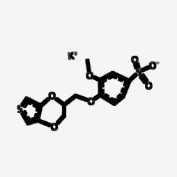 COc1cc(S(=O)(=O)[O-])ccc1OCC1COc2cscc2O1.[K+]